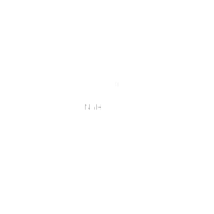 Brc1[c]cccc1.[NaH]